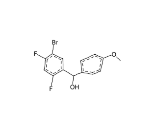 COc1ccc(C(O)c2cc(Br)c(F)cc2F)cc1